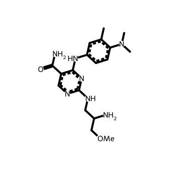 COCC(N)CNc1ncc(C(N)=O)c(Nc2ccc(N(C)C)c(C)c2)n1